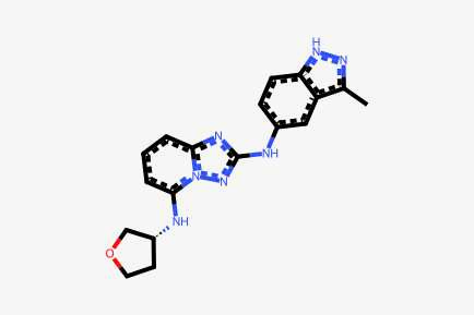 Cc1n[nH]c2ccc(Nc3nc4cccc(N[C@@H]5CCOC5)n4n3)cc12